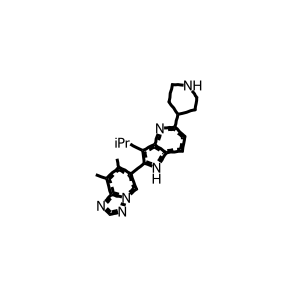 Cc1c(-c2[nH]c3ccc(C4CCNCC4)nc3c2C(C)C)cn2ncnc2c1C